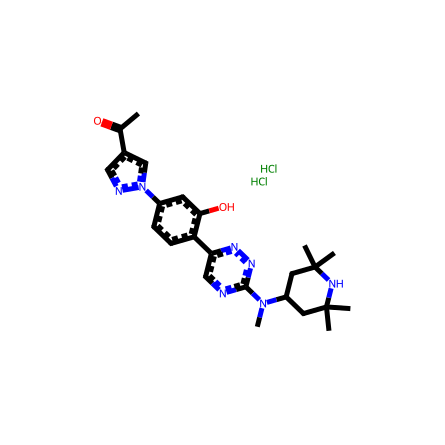 CC(=O)c1cnn(-c2ccc(-c3cnc(N(C)C4CC(C)(C)NC(C)(C)C4)nn3)c(O)c2)c1.Cl.Cl